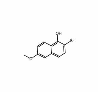 COc1ccc2c(O)c(Br)ccc2c1